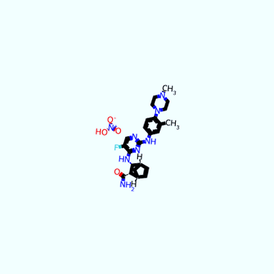 Cc1cc(Nc2ncc(F)c(N[C@H]3[C@@H](C(N)=O)[C@@H]4C=C[C@H]3C4)n2)ccc1N1CCN(C)CC1.O=[N+]([O-])O